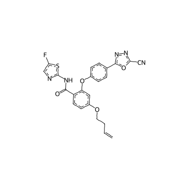 C=CCCOc1ccc(C(=O)Nc2ncc(F)s2)c(Oc2ccc(-c3nnc(C#N)o3)cc2)c1